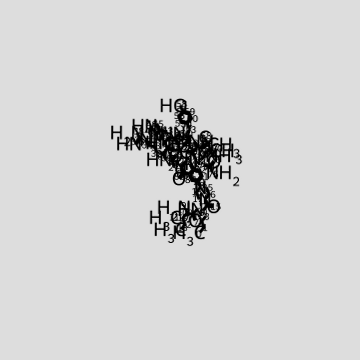 CCCC[C@H](NC(=O)[C@@H](N)[C@@H](C)CC)C(=O)N1CCN(c2ccc3ncn(CC(=O)N[C@@H](CCCNC(=N)N)C(=O)N[C@@H](Cc4c[nH]cn4)C(=O)N[C@@H](Cc4ccc(O)cc4)C(=O)N[C@@H](CC(C)C)C(=O)N[C@@H](CC(N)=O)C(=O)NC)c(=O)c3c2)CC1